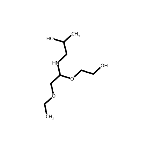 CCOCC(NCC(C)O)OCCO